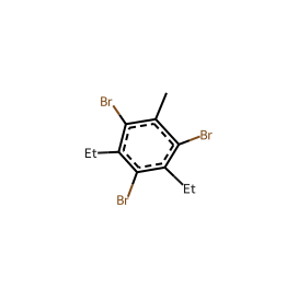 CCc1c(Br)c(C)c(Br)c(CC)c1Br